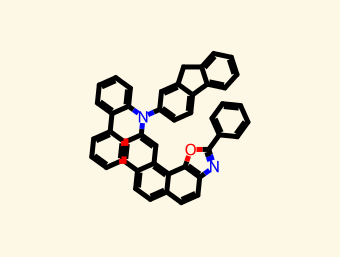 c1ccc(-c2nc3ccc4ccc5ccc(N(c6ccc7c(c6)Cc6ccccc6-7)c6ccccc6-c6ccccc6)cc5c4c3o2)cc1